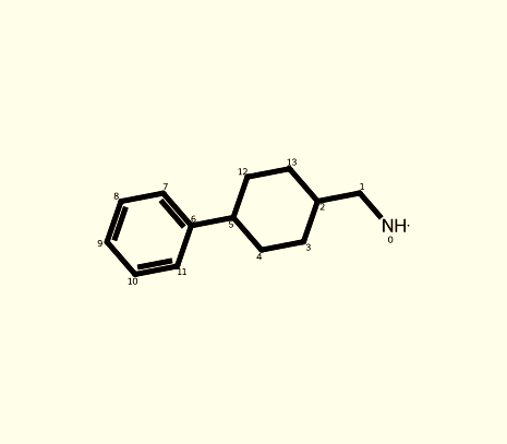 [NH]CC1CCC(c2ccccc2)CC1